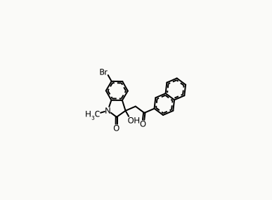 CN1C(=O)C(O)(CC(=O)c2ccc3ccccc3c2)c2ccc(Br)cc21